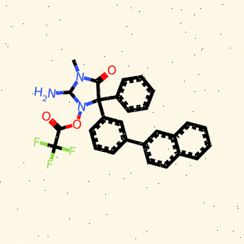 CN1C(=O)C(c2ccccc2)(c2cccc(-c3ccc4ccccc4c3)c2)N(OC(=O)C(F)(F)F)C1N